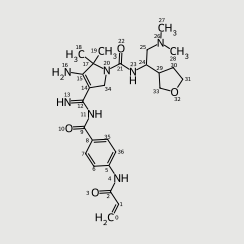 C=CC(=O)Nc1ccc(C(=O)NC(=N)C2=C(N)C(C)(C)N(C(=O)NC(CN(C)C)C3CCOC3)C2)cc1